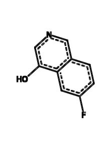 Oc1cncc2ccc(F)cc12